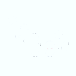 CC1(C)c2ccccc2-c2cc(N(c3ccc4c(c3)C(C)(C)c3cc(-c5ccccc5)ccc3-4)c3ccccc3-c3ccccc3)ccc21